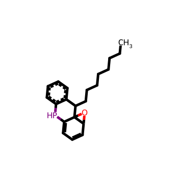 CCCCCCCCC1c2ccccc2PC2=CC=CC3OC231